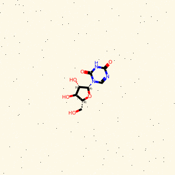 O=c1ncn([C@@H]2O[C@H](CO)C(O)[C@@H]2O)c(=O)[nH]1